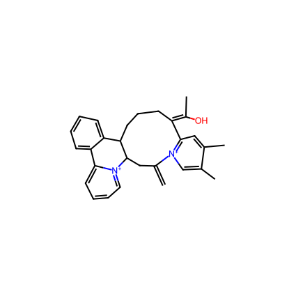 C=C1CC2C(CCC/C(=C(\C)O)c3cc(C)c(C)c[n+]31)c1ccccc1-c1cccc[n+]12